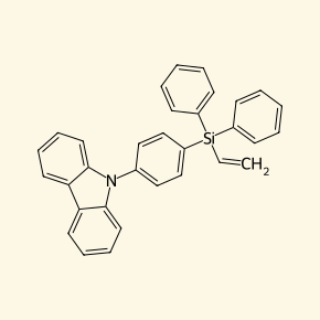 C=C[Si](c1ccccc1)(c1ccccc1)c1ccc(-n2c3ccccc3c3ccccc32)cc1